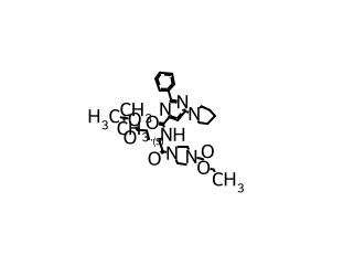 CCOC(=O)N1CCN(C(=O)[C@H](CCC(=O)OC(C)(C)C)NC(=O)c2cc(N3CCCCC3)nc(-c3ccccc3)n2)CC1